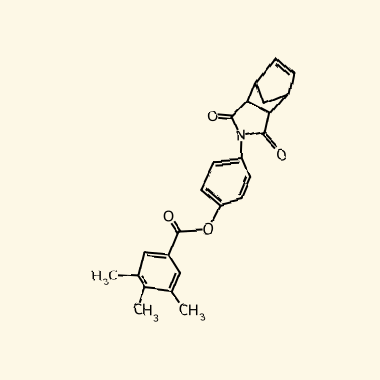 Cc1cc(C(=O)Oc2ccc(N3C(=O)C4C5C=CC(C5)C4C3=O)cc2)cc(C)c1C